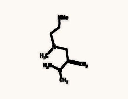 C=C(CN(C)CCNC)N(C)N